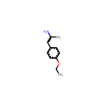 CCOc1ccc(/C=C(\C)N)cc1